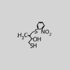 CC(CSc1ccccc1[N+](=O)[O-])C(O)CS